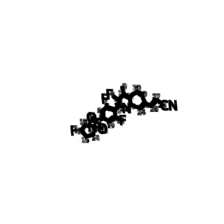 Cc1c(F)c(-c2c(F)cc(S(=O)(=O)N3CC[C@H](F)C3)cc2F)nc2cc(/C=C/C#N)ccc12